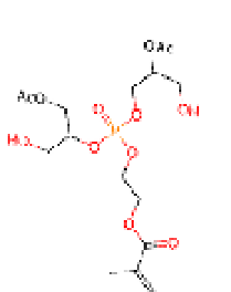 C=C(C)C(=O)OCCOP(=O)(OCC(CO)OC(C)=O)OC(CO)COC(C)=O